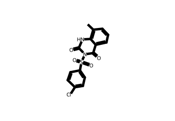 Cc1cccc2c(=O)n(S(=O)(=O)c3ccc(Cl)cc3)c(=O)[nH]c12